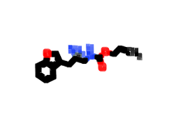 C=CCOC(=O)NC[C@@H](N)Cc1coc2ccccc12